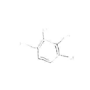 CCCCc1c(O)ccc(O)c1CCCC